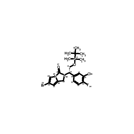 CC(C)(C)[Si](C)(C)OC[C@H](c1ccc(F)c(Cl)c1)N1Cc2cc(Br)cn2C1=O